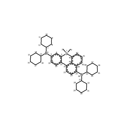 C[Si]1(C)c2cc(B(C3CCCCC3)C3CCCCC3)ccc2-c2ccc(B(C3CCCCC3)C3CCCCC3)c3cccc1c23